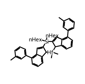 CCCCCC[Si]1(CCCCCC)C2=Cc3c(-c4cccc(C)c4)cccc3[CH]2[Hf]([CH3])([CH3])[CH]2C1=Cc1c(-c3cccc(C)c3)cccc12